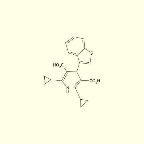 O=C(O)C1=C(C2CC2)NC(C2CC2)=C(C(=O)O)C1c1csc2ccccc12